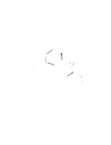 O=C(CBr)Nc1cc(OC(F)(F)F)ccc1O